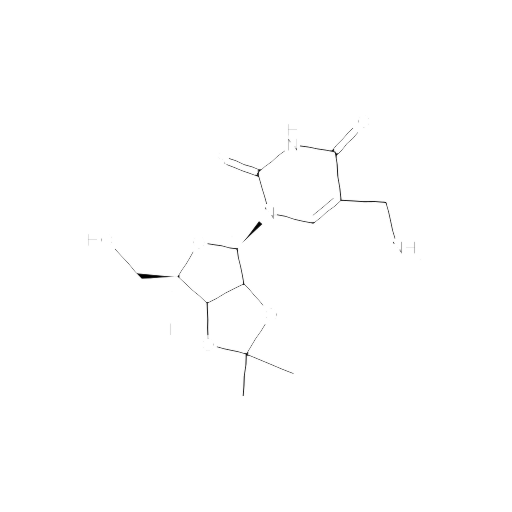 CC1(C)OC2[C@@H](O1)[C@@H](CO)O[C@H]2n1cc(CN)c(=O)[nH]c1=S